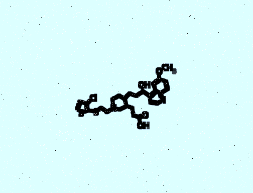 COc1ccc2nccc([C@@H](O)CCC3CCN(CCSc4sccc4Cl)CC3CCC(=O)O)c2c1